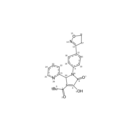 CC(C)(C)C(=O)C1=C(O)C(=O)N(c2ccc(C3=NOCC3)cc2)C1c1ccccn1